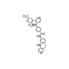 CC1=C(c2cnccc2Nc2ccc(C(=O)Nc3ccc4c(c3)Nc3ccncc3CC4)cc2)C[C@H](C)OC1